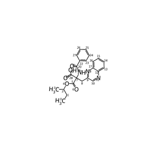 CCC(C)OC(=O)C(Cc1cnc2ccccc2n1)(NC(=O)c1ccccc1)C(=O)O